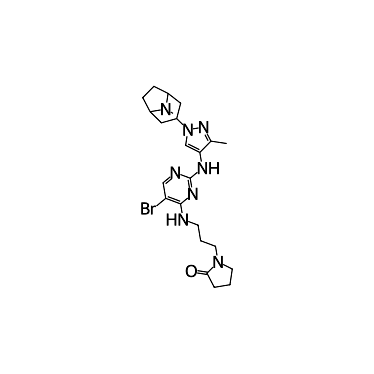 Cc1nn(C2CC3CCC(C2)N3C)cc1Nc1ncc(Br)c(NCCCN2CCCC2=O)n1